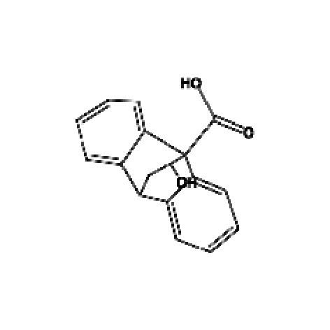 O=C(O)C12c3ccccc3C(CC1O)c1ccccc12